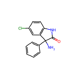 NC1(c2ccccc2)C(=O)Nc2ccc(Cl)cc21